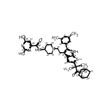 Cc1cc(C)cc(-c2[nH]c3sc(C(C)(C)C(=O)N4C5CCC4CC5)cc3c2CCN2CCC(NC(=O)c3cc(O)nc(O)n3)CC2)c1